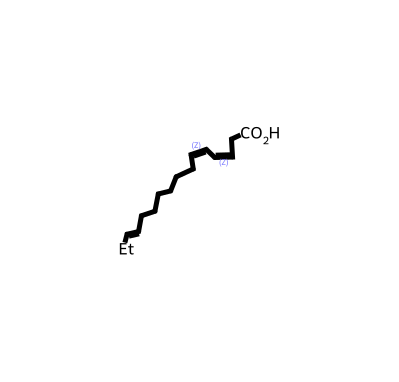 CCC=CCCCCCC/C=C\C=C/CC(=O)O